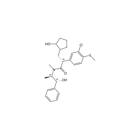 CSc1ccc([C@@H](CC2CCCC2O)C(=O)N(C)[C@H](C)[C@H](O)c2ccccc2)cc1Cl